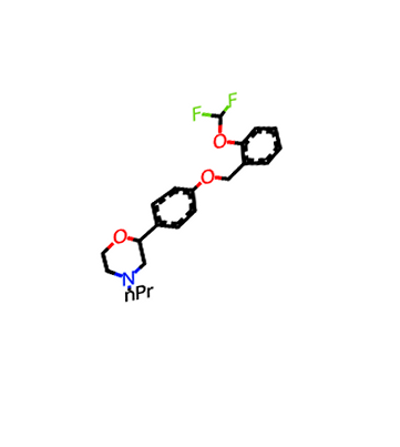 CCCN1CCOC(c2ccc(OCc3ccccc3OC(F)F)cc2)C1